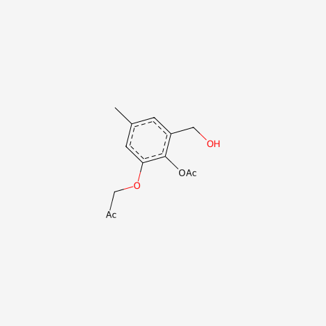 CC(=O)COc1cc(C)cc(CO)c1OC(C)=O